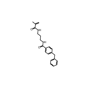 C=C(C)C(=O)NCCCNC(=O)c1ccc(Cc2ccccc2)cc1